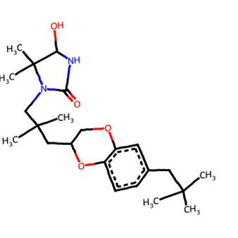 CC(C)(C)Cc1ccc2c(c1)OCC(CC(C)(C)CN1C(=O)NC(O)C1(C)C)O2